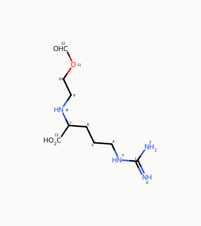 N=C(N)NCCCC(NCCOC=O)C(=O)O